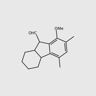 COc1c(C)cc(C)c2c1C(C=O)C1CCCCC21